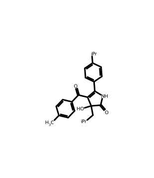 Cc1ccc(C(=O)C2=C(c3ccc(C(C)C)cc3)NC(=O)C2(O)CC(C)C)cc1